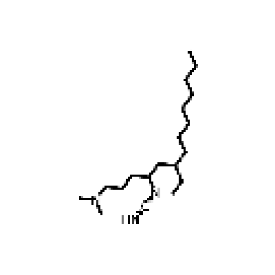 CCCCCCCCC(CC)CC(CCCN(C)C)N=C=N